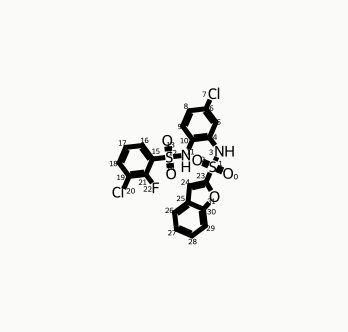 O=S(=O)(Nc1cc(Cl)ccc1NS(=O)(=O)c1cccc(Cl)c1F)c1cc2ccccc2o1